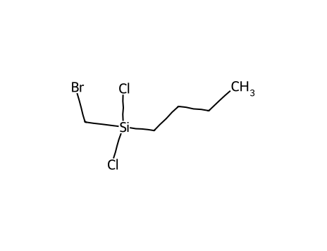 CCCC[Si](Cl)(Cl)CBr